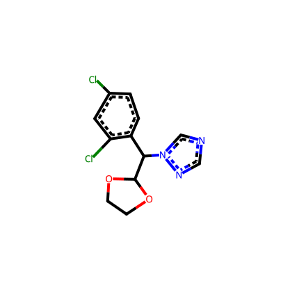 Clc1ccc(C(C2OCCO2)n2cncn2)c(Cl)c1